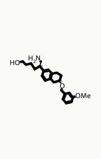 COc1cccc(CO[C@@H]2CCc3cc([C@H](CN)CCCCO)ccc3C2)c1